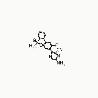 CS(=O)(=O)c1ccccc1-c1ccc(-c2ncc(N)nc2C#N)c(F)c1